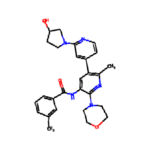 Cc1nc(N2CCOCC2)c(NC(=O)c2cccc(C(F)(F)F)c2)cc1-c1ccnc(N2CCC(O)C2)c1